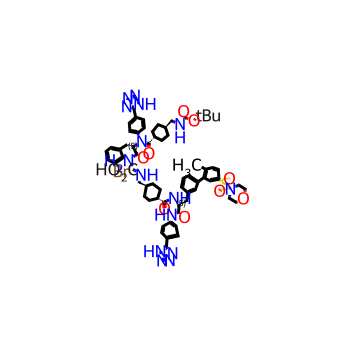 CC(C)(C)OC(=O)NC[C@H]1CC[C@H](C(=O)N(c2ccc(-c3nnn[nH]3)cc2)[C@@H](Cc2cccc(Br)c2)C(N)=O)CC1.Cc1ccc(S(=O)(=O)N2CCOCC2)cc1-c1cccc(C[C@H](NC(=O)[C@H]2CC[C@H](CNC(=O)O)CC2)C(=O)Nc2ccc(-c3nnn[nH]3)cc2)c1